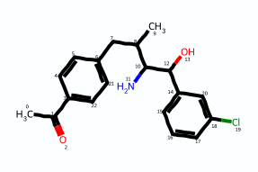 CC(=O)c1ccc(CC(C)C(N)C(O)c2cccc(Cl)c2)cc1